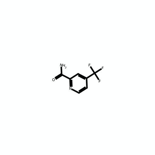 NC(=O)c1cc(C(F)(F)F)ccn1